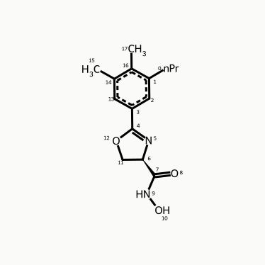 CCCc1cc(C2=N[C@@H](C(=O)NO)CO2)cc(C)c1C